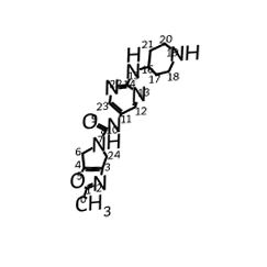 Cc1nc2c(o1)CN(C(=O)Nc1cnc(NC3CCNCC3)nc1)C2